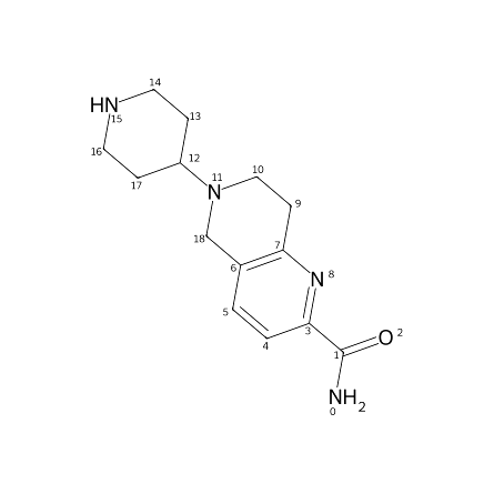 NC(=O)c1ccc2c(n1)CCN(C1CCNCC1)C2